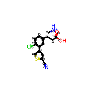 N#Cc1cc(-c2cc([C@H](CN)CC(=O)O)ccc2Cl)cs1